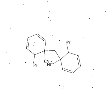 CC(C)C1C=CC=CC1(C#N)CC1(C#N)C=CC=CC1C(C)C